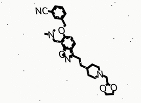 CN(C)Cc1c(OCc2cccc(C#N)c2)ccc2c(CCC3CCN(CC4OCCO4)CC3)noc12